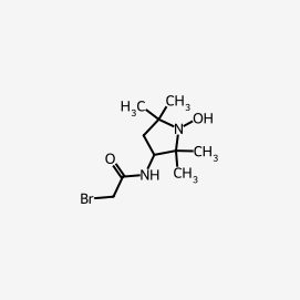 CC1(C)CC(NC(=O)CBr)C(C)(C)N1O